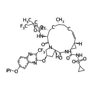 CC[C@@H]1C[C@H](C)CC/C=C\[C@@H]2C[C@@]2(C(=O)NS(=O)(=O)C2CC2)NC(=O)[C@@H]2C[C@@H](Oc3nc4cc(OC(C)C)ccc4nc3C(F)(F)F)CN2C(=O)[C@H]1NC(=O)OC(C)(C)C(F)(F)F